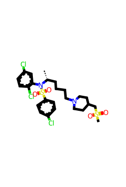 C[C@H](CCCCN1CCC(CS(C)(=O)=O)CC1)N(c1cc(Cl)ccc1Cl)S(=O)(=O)c1ccc(Cl)cc1